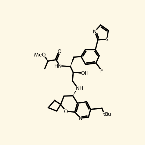 CO[C@H](C)C(=O)N[C@@H](Cc1cc(F)cc(-c2nccs2)c1)[C@@H](O)CN[C@H]1CC2(CCC2)Oc2ncc(CC(C)(C)C)cc21